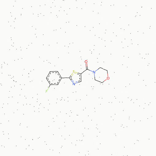 O=C(c1cnc(-c2cccc(F)c2)s1)N1CCOCC1